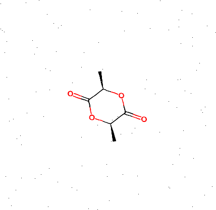 C[C@H]1OC(=O)[C@@H](C)OC1=O